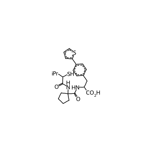 CC(C)C(S)C(=O)NC1(C(=O)NC(Cc2ccc(-c3cccs3)cc2)C(=O)O)CCCC1